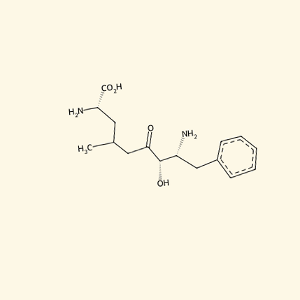 CC(CC(=O)[C@@H](O)[C@H](N)Cc1ccccc1)C[C@H](N)C(=O)O